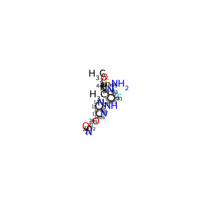 COC[C@]12C[C@H]1[C@@](C)(c1cc(Nc3nccc4cc(OCc5cnco5)cnc34)cc(F)c1F)N=C(N)S2